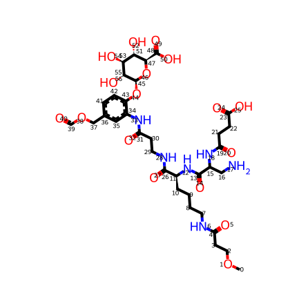 COCCC(=O)NCCCC[C@H](NC(=O)C(CN)NC(=O)CCC(=O)O)C(=O)NCCC(=O)Nc1cc(COC=O)ccc1O[C@@H]1O[C@H](C(=O)O)[C@@H](O)[C@H](O)[C@H]1O